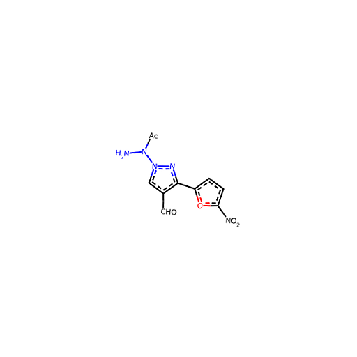 CC(=O)N(N)n1cc(C=O)c(-c2ccc([N+](=O)[O-])o2)n1